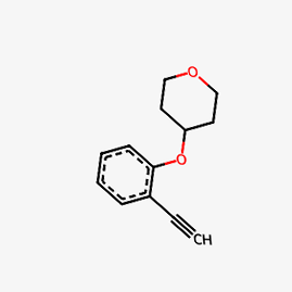 C#Cc1ccccc1OC1CCOCC1